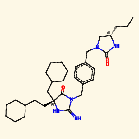 CCC[C@H]1CN(Cc2ccc(CN3C(=N)N[C@](CCC4CCCCC4)(CC4CCCCC4)C3=O)cc2)C(=O)N1